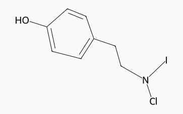 Oc1ccc(CCN(Cl)I)cc1